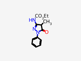 CCOC(=O)NC1=NN(c2ccccc2)C(=O)C1C